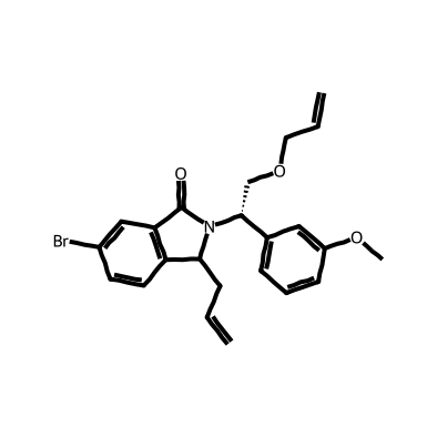 C=CCOC[C@H](c1cccc(OC)c1)N1C(=O)c2cc(Br)ccc2C1CC=C